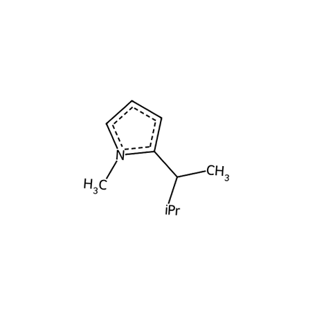 CC(C)C(C)c1cccn1C